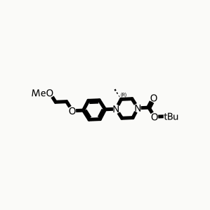 COCCOc1ccc(N2CCN(C(=O)OC(C)(C)C)C[C@H]2C)cc1